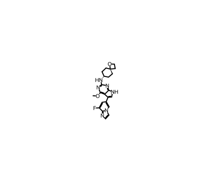 COc1nc(N[C@H]2CC[C@@]3(CCO3)CC2)nc2[nH]cc(-c3cc(F)c4nccn4c3)c12